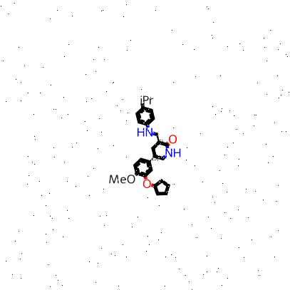 COc1ccc([C@H]2CNC(=O)[C@H](CNc3ccc(C(C)C)cc3)C2)cc1OC1CCCC1